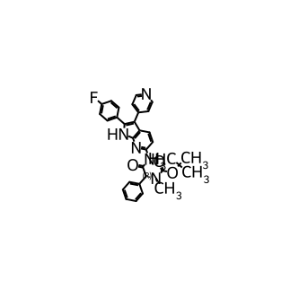 CN(C(=O)OC(C)(C)C)[C@@H](C(=O)Nc1ccc2c(-c3ccncc3)c(-c3ccc(F)cc3)[nH]c2n1)c1ccccc1